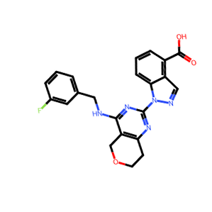 O=C(O)c1cccc2c1cnn2-c1nc2c(c(NCc3cccc(F)c3)n1)COCC2